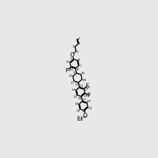 C=CCCOc1ccc(C2CCC(c3ccc(-c4ccc(OCC)cc4)c(F)c3F)CC2)c(F)c1